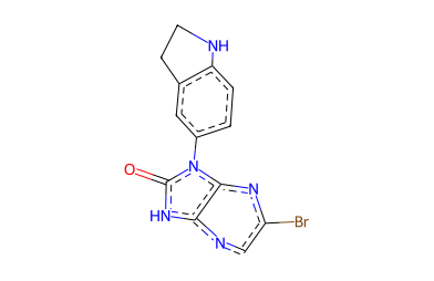 O=c1[nH]c2ncc(Br)nc2n1-c1ccc2c(c1)CCN2